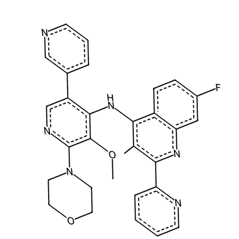 COc1c(N2CCOCC2)ncc(-c2cccnc2)c1Nc1c(C)c(-c2ccccn2)nc2cc(F)ccc12